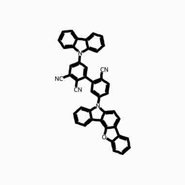 N#Cc1ccc(-n2c3ccccc3c3c4oc5ccccc5c4ccc32)cc1-c1cc(-n2c3ccccc3c3ccccc32)cc(C#N)c1C#N